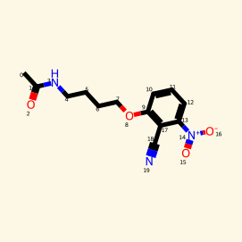 CC(=O)NCCCCOc1cccc([N+](=O)[O-])c1C#N